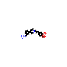 NCc1cccc(C2CCN(CC=Cc3ccc(O)c(O)c3)CC2)c1